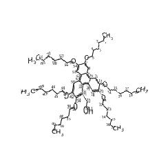 CCCCCCOc1cc2c3cc(OCCCCCC)c(OCCCCCC)cc3c3c(CO)c(OCCCCCC)c(OCCCCCC)cc3c2cc1OCCCCCC